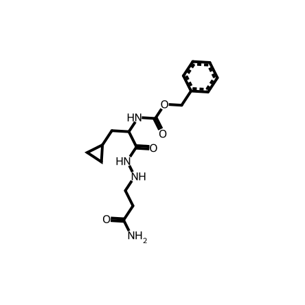 NC(=O)CCNNC(=O)C(CC1CC1)NC(=O)OCc1ccccc1